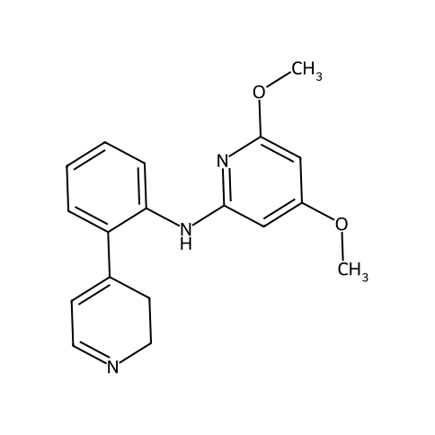 COc1cc(Nc2ccccc2C2=CC=NCC2)nc(OC)c1